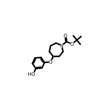 CC(C)(C)OC(=O)N1CCCC(Oc2cccc(O)c2)CC1